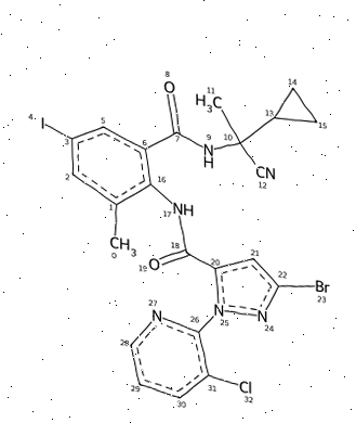 Cc1cc(I)cc(C(=O)NC(C)(C#N)C2CC2)c1NC(=O)c1cc(Br)nn1-c1ncccc1Cl